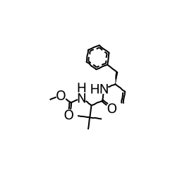 C=C[C@H](Cc1ccccc1)NC(=O)C(NC(=O)OC)C(C)(C)C